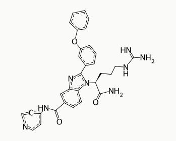 N=C(N)NCCC[C@@H](C(N)=O)n1c(-c2cccc(Oc3ccccc3)c2)nc2cc(C(=O)Nc3ccncc3)ccc21